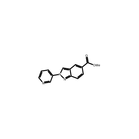 COC(=O)c1ccc2nn(-c3cccnc3)cc2c1